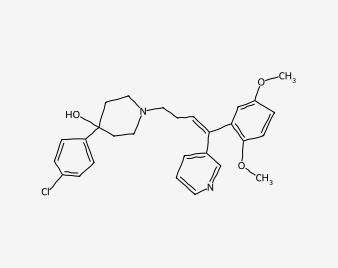 COc1ccc(OC)c(C(=CCCN2CCC(O)(c3ccc(Cl)cc3)CC2)c2cccnc2)c1